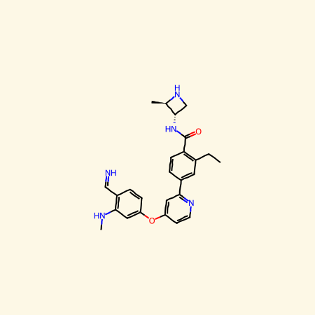 CCc1cc(-c2cc(Oc3ccc(C=N)c(NC)c3)ccn2)ccc1C(=O)N[C@H]1CN[C@@H]1C